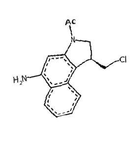 CC(=O)N1C[C@@H](CCl)c2c1cc(N)c1ccccc21